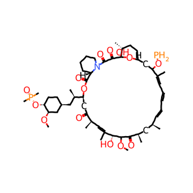 COC1C(=O)[C@H](C)C[C@H](C)/C=C/C=C/C=C(\C)C(OP)C[C@@H]2CC[C@@H](C)[C@@](O)(O2)C(=O)C(=O)N2CCCC[C@H]2C(=O)O[C@H]([C@H](C)C[C@@H]2CC[C@@H](OP(C)(C)=O)[C@H](OC)C2)CC(=O)[C@H](C)/C=C(\C)[C@H]1O